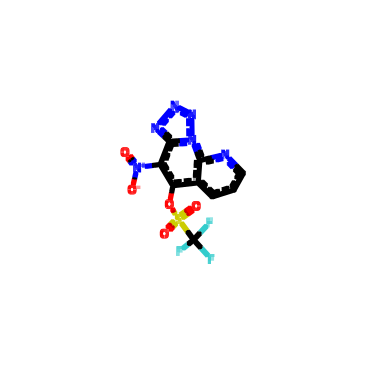 O=[N+]([O-])c1c(OS(=O)(=O)C(F)(F)F)c2cccnc2n2nnnc12